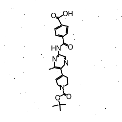 Cc1nc(NC(=O)c2ccc(C(=O)O)cc2)cnc1C1=CCN(C(=O)OC(C)(C)C)CC1